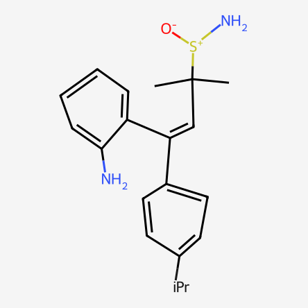 CC(C)c1ccc(C(=CC(C)(C)[S+](N)[O-])c2ccccc2N)cc1